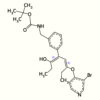 CC/C(O)=C(\C=C(/CC)Oc1ccncc1Br)c1cccc(CNC(=O)OC(C)(C)C)c1